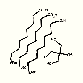 CC(CO)(CO)CO.CCCCCCCCCCCCCCCCCC(=O)O.CCCCCCCCCCCCCCCCCC(=O)O.CCCCCCCCCCCCCCCCCC(=O)O